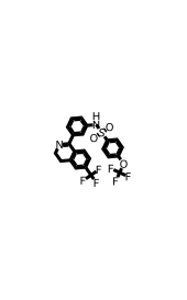 O=S(=O)(Nc1cccc(C2=NCCc3cc(C(F)(F)F)ccc32)c1)c1ccc(OC(F)(F)F)cc1